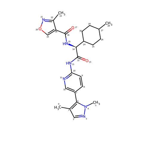 Cc1cnn(C)c1-c1ccc(NC(=O)[C@@H](NC(=O)c2conc2C)C2CCC(C)CC2)nc1